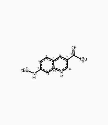 CC(C)(C)Nc1ccc2cc(C(=O)C(C)(C)C)cnc2c1